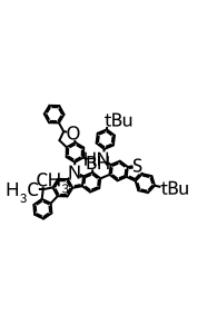 CC(C)(C)c1ccc(Nc2cc3sc4cc(C(C)(C)C)ccc4c3cc2-c2ccc3c4cc5c(cc4n4c3c2Bc2cc3c(cc2-4)CC(c2ccccc2)O3)C(C)(C)c2ccccc2-5)cc1